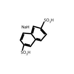 O=S(=O)(O)c1ccc2cc(S(=O)(=O)O)ccc2c1.[NaH]